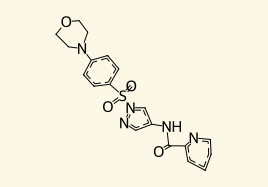 O=C(Nc1cnn(S(=O)(=O)c2ccc(N3CCOCC3)cc2)c1)c1ccccn1